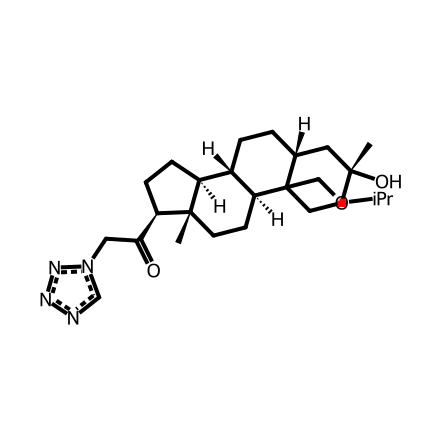 CC(C)OCC12CC[C@@](C)(O)C[C@H]1CC[C@@H]1[C@@H]2CC[C@]2(C)[C@@H](C(=O)Cn3cnnn3)CC[C@@H]12